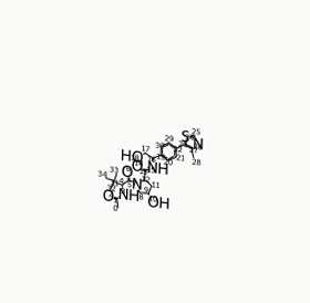 CC(=O)NC(C(=O)N1CC(O)CC1C(=O)NC(CO)c1ccc(-c2scnc2C)cc1)C(C)(C)C